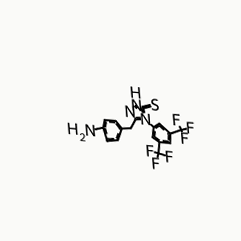 Nc1ccc(Cc2n[nH]c(=S)n2-c2cc(C(F)(F)F)cc(C(F)(F)F)c2)cc1